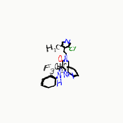 Cc1cncc(Cl)c1CCN(CC1(C)CCCC1)C(=O)/C(C=N)=C(/NC1CCCCC1)C(F)(F)F